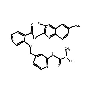 COc1ccc2nc(NC(=O)c3ccccc3NCc3ccnc(NC(=O)N(C)C)c3)c(F)cc2c1